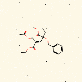 CCOC(=O)/C(=C/C(CC)(OCc1ccccc1)C(=O)OC)COC(C)=O